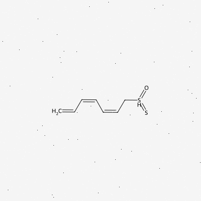 C=C/C=C\C=C/C[SH](=O)=S